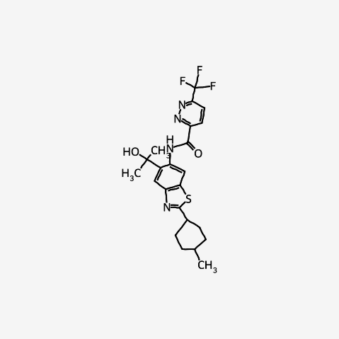 CC1CCC(c2nc3cc(C(C)(C)O)c(NC(=O)c4ccc(C(F)(F)F)nn4)cc3s2)CC1